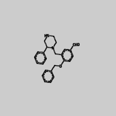 O=Cc1ccc(OCc2ccccc2)c(CN2CCNCC2c2ccccc2)c1